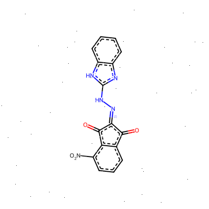 O=c1/c(=N/Nc2nc3ccccc3[nH]2)c(=O)c2c([N+](=O)[O-])cccc12